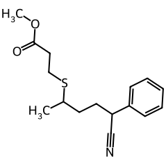 COC(=O)CCSC(C)CCC(C#N)c1ccccc1